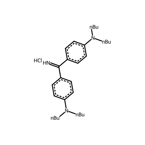 CCCCN(CCCC)c1ccc(C(=N)c2ccc(N(CCCC)CCCC)cc2)cc1.Cl